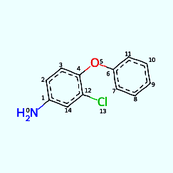 Nc1ccc(Oc2ccccc2)c(Cl)c1